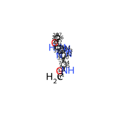 C=CC(=O)N[C@H]1CC[C@@H](C2=Cc3ncnc(N)c3C(c3ccc(Oc4ccccc4)cc3)=NC2)CC1